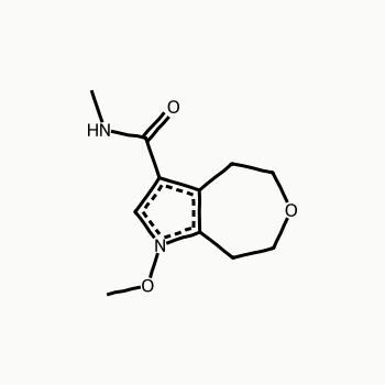 CNC(=O)c1cn(OC)c2c1CCOCC2